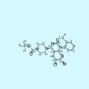 CC(C)c1ccccc1-n1c(=O)nc(N2CCN(C(=O)OC(C)(C)C)CC2)c2cc(Cl)c(Br)nc21